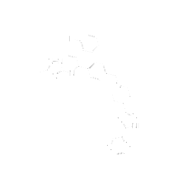 Cc1nc2nc(-c3ccc(CN4CCC(c5n[nH]c(-c6cnccn6)n5)CC4)cc3)c(-c3ccc(F)cc3F)cn2n1